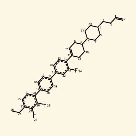 C=CCCC1CCC(C2CC=C(c3ccc(-c4ccc(-c5ccc(CC)c(F)c5F)cc4)cc3F)CC2)CC1